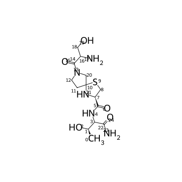 C[C@@H](O)C(NC(=O)[C@@H]1CSC2(CCN(C(=O)C(N)CO)C2)N1)C(N)=O